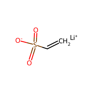 C=CS(=O)(=O)[O-].[Li+]